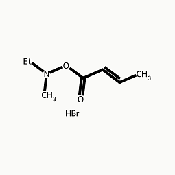 Br.CC=CC(=O)ON(C)CC